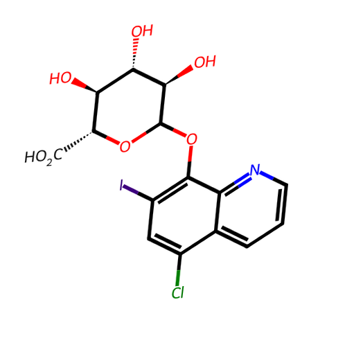 O=C(O)[C@H]1OC(Oc2c(I)cc(Cl)c3cccnc23)[C@H](O)[C@@H](O)[C@@H]1O